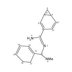 CNC(/N=C(\N)C1=CC2=CC2C=C1)C1=CC=CCC1